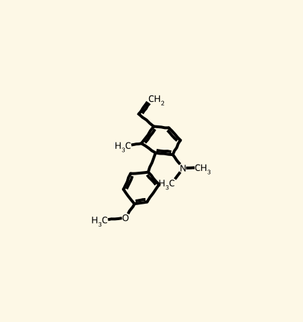 C=Cc1ccc(N(C)C)c(-c2ccc(OC)cc2)c1C